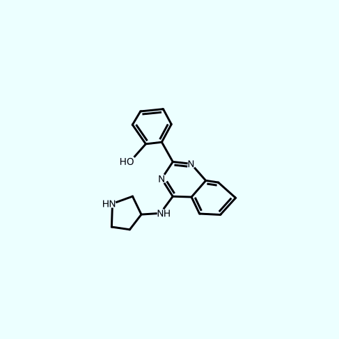 Oc1ccccc1-c1nc(NC2CCNC2)c2ccccc2n1